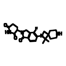 CC1(C)N(c2ccc3c(c2F)CN(C2CCC(=O)NC2=O)C3=O)CC12CCNCC2